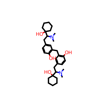 CN(C)C(Cc1ccc(O)c(Cc2cc(CC(N(C)C)C3(O)CCCCC3)ccc2O)c1)C1(O)CCCCC1